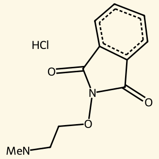 CNCCON1C(=O)c2ccccc2C1=O.Cl